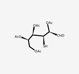 CC(=O)OC[C@@H](OC(C)=O)[C@@H](OC(C)=O)[C@H](S)[C@H](C=O)OC(C)=O